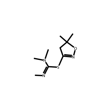 C/N=C(/SC1=NOC(C)(C)C1)N(C)C